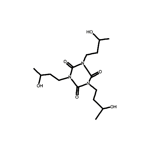 CC(O)CCn1c(=O)n(CCC(C)O)c(=O)n(CCC(C)O)c1=O